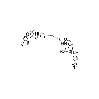 Cc1ncsc1-c1ccc(C2(NC(=O)[C@H]3C[C@@H](O)CN3C(=O)[C@@H](NC(=O)COCCCCC#Cc3ccc(C(=O)N[C@H]4C(C)(C)[C@H](Oc5ccc(C#N)c(Br)c5)C4(C)C)cc3)C(C)(C)C)CC2)cc1